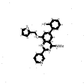 CNc1nc(-c2cccnc2)nc2c(OCc3ccco3)cc(-c3ccccc3F)cc12